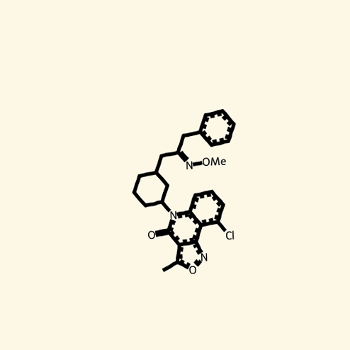 CON=C(Cc1ccccc1)CC1CCCC(n2c(=O)c3c(C)onc3c3c(Cl)cccc32)C1